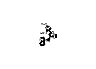 COc1ncc(-c2cc([C@H]3C[C@@H]3c3ccnc4ccccc34)c3nccn3n2)c(OC)n1